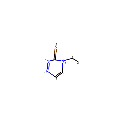 CCn1ccnnc1=S